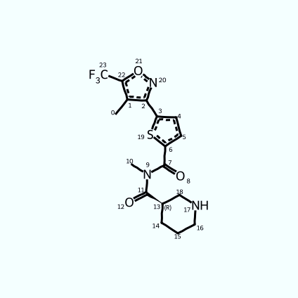 Cc1c(-c2ccc(C(=O)N(C)C(=O)[C@@H]3CCCNC3)s2)noc1C(F)(F)F